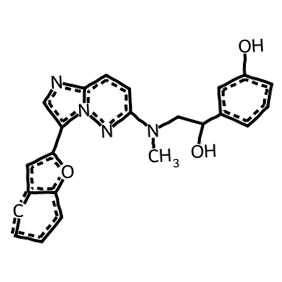 CN(CC(O)c1cccc(O)c1)c1ccc2ncc(-c3cc4ccccc4o3)n2n1